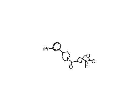 CC(C)c1cccc(C2CCN(C(=O)C3CC4(COC(=O)N4)C3)CC2)c1